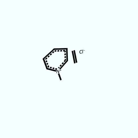 C=C.C[n+]1ccccc1.[Cl-]